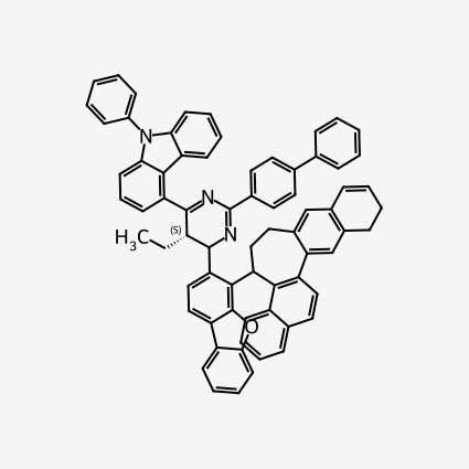 CC[C@@H]1C(c2cccc3c2c2ccccc2n3-c2ccccc2)=NC(c2ccc(-c3ccccc3)cc2)=NC1c1ccc2c(oc3ccccc32)c1C1CCc2cc3c(cc2-c2ccc4ccccc4c21)CCC=C3